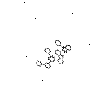 c1ccc(-c2cccc(-c3cc(-c4cccc5sc6c(-c7nc8ccccc8n7-c7ccccc7)cccc6c45)nc(-c4ccccc4)n3)c2)cc1